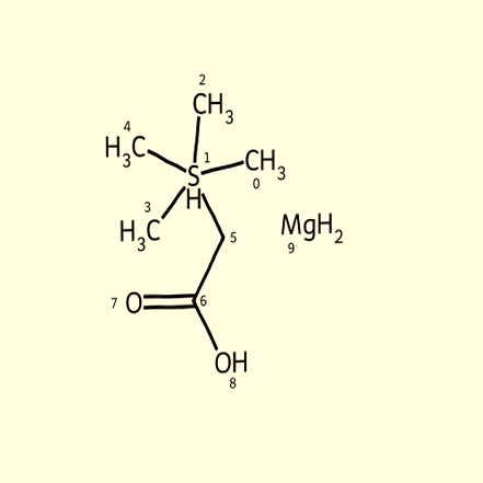 C[SH](C)(C)(C)CC(=O)O.[MgH2]